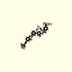 COCCn1c(Cc2cc(F)c(-c3cccc(OCc4ccc(C#Cc5cncn5C)cc4F)n3)cc2F)nc2ccc(C(=O)O)cc21